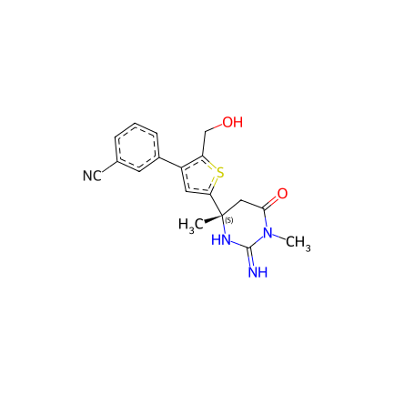 CN1C(=N)N[C@](C)(c2cc(-c3cccc(C#N)c3)c(CO)s2)CC1=O